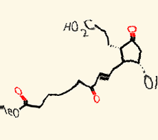 COC(=O)CCCCC(=O)C=CC1[C@@H](OC(C)=O)CC(=O)[C@H]1CCC(=O)O